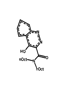 CCCCCCCCN(CCCCCCCC)C(=O)c1nnc2ccccc2c1O